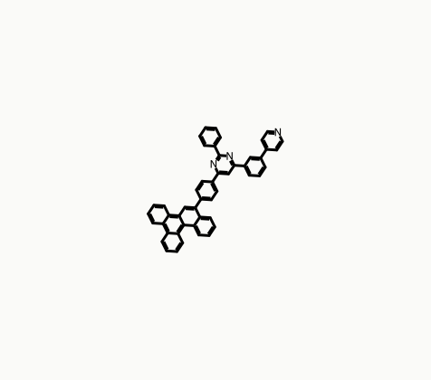 c1ccc(-c2nc(-c3ccc(-c4cc5c6ccccc6c6ccccc6c5c5ccccc45)cc3)cc(-c3cccc(-c4ccncc4)c3)n2)cc1